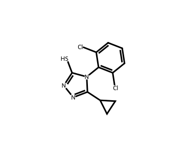 Sc1nnc(C2CC2)n1-c1c(Cl)cccc1Cl